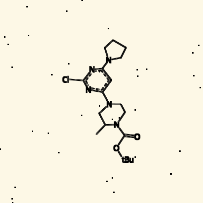 CC1CN(c2cc(N3CCCC3)nc(Cl)n2)CCN1C(=O)OC(C)(C)C